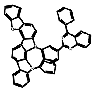 c1ccc(-c2nc(-c3cccc(-n4c5ccc6c7ccccc7oc6c5c5ccc6c7ccccc7n(-c7ccccc7)c6c54)c3)nc3ccccc23)cc1